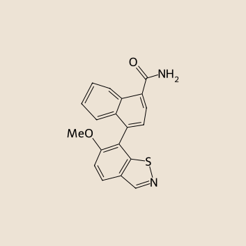 COc1ccc2cnsc2c1-c1ccc(C(N)=O)c2ccccc12